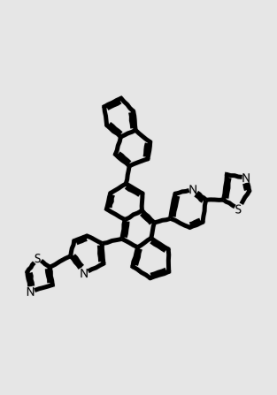 c1ccc2cc(-c3ccc4c(-c5ccc(-c6cncs6)nc5)c5ccccc5c(-c5ccc(-c6cncs6)nc5)c4c3)ccc2c1